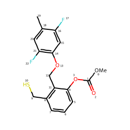 COC(=O)Oc1cccc(CS)c1COc1cc(F)c(C)cc1F